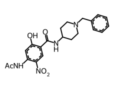 CC(=O)Nc1cc(O)c(C(=O)NC2CCN(Cc3ccccc3)CC2)cc1[N+](=O)[O-]